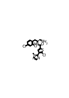 Cn1ncnc1-c1cc(C(=O)N[C@H](CN)Cc2ccc(Cl)cc2Cl)sc1Cl